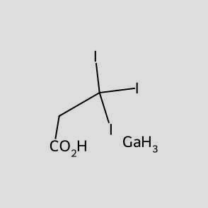 O=C(O)CC(I)(I)I.[GaH3]